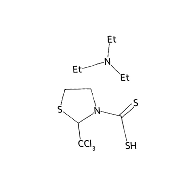 CCN(CC)CC.S=C(S)N1CCSC1C(Cl)(Cl)Cl